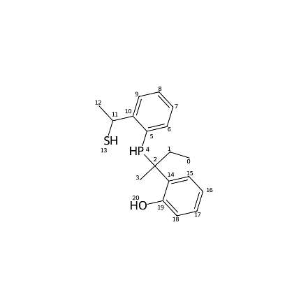 CCC(C)(Pc1ccccc1C(C)S)c1ccccc1O